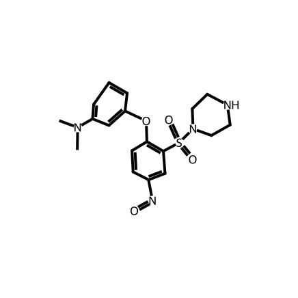 CN(C)c1cccc(Oc2ccc(N=O)cc2S(=O)(=O)N2CCNCC2)c1